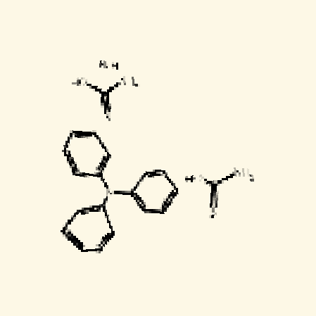 NC(O)=S.NC(O)=S.[NaH].c1ccc(N(c2ccccc2)c2ccccc2)cc1